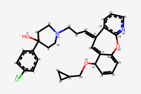 OC1(c2ccc(Cl)cc2)CCN(CCC=C2C=C3C(=CC=CC3OCC3CC3)Oc3ncccc32)CC1